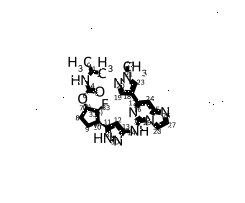 CC(C)NC(=O)O[C@@H]1CC[C@H](c2cc(Nc3nc(-c4cnn(C)c4)cc4nccn34)n[nH]2)[C@@H]1F